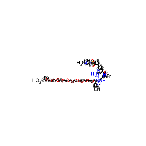 CCCN(CCCN/C(=N/c1cccc(C#N)c1)NCCOCCOCCOCCOCCOCCOCCOCCOCCOCCOCC(C(=O)O)C(C)(C)C)C(=O)C1=Cc2ccc(-c3cccc(S(=O)(=O)N4CC(CN(C)C)C4)c3)cc2N=C(N)C1